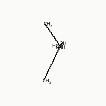 CCCCCCCCCCCCCCCCCCCCCCCCCCCC(=O)N[C@@H](CO)[C@H](O)CCCCCCCCCCCCCCCCCCC